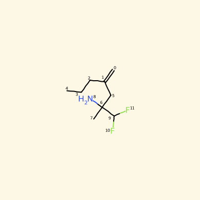 C=C(CCC)CC(C)(N)C(F)F